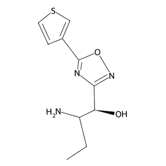 CCC(N)[C@H](O)c1noc(-c2ccsc2)n1